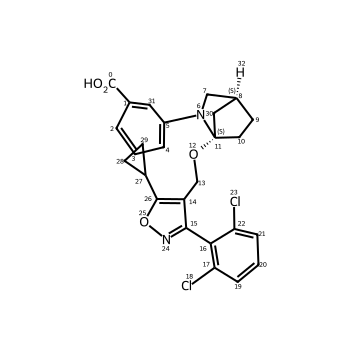 O=C(O)c1cccc(N2C[C@H]3CC[C@]2(OCc2c(-c4c(Cl)cccc4Cl)noc2C2CC2)C3)c1